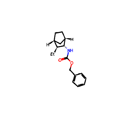 CC[C@H]1[C@@H]2CC[C@@H](C2)[C@@H]1NC(=O)OCc1ccccc1